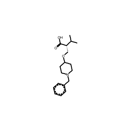 CC(C)[C@H](COC1CCN(Cc2ccccc2)CC1)C(=O)O